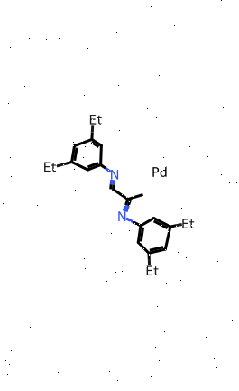 CCc1cc(CC)cc(/N=C/C(C)=N/c2cc(CC)cc(CC)c2)c1.[Pd]